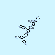 CC1=CC[C@@H](CN2CCN(c3ccc(C(=O)NS(=O)(=O)c4ccc(NCC5CCOCC5)c(C)c4)c(Oc4cnc5[nH]ccc5c4)c3)CC2)[C@H](c2ccc(Cl)cc2)C1